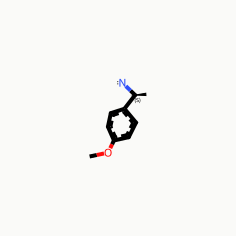 COc1ccc([C@H](C)[N])cc1